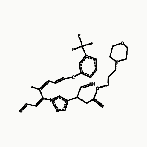 C=C(CC(C=N)c1cnn(C(=C/C=O)/C(C)=C\C=C\Cc2cccc(C(F)(F)F)c2)c1)OCCCN1CCOCC1